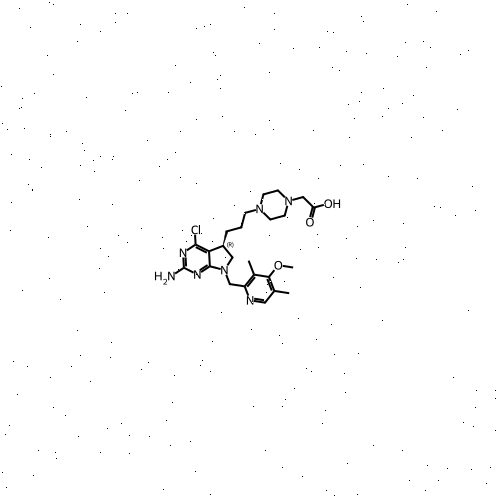 COc1c(C)cnc(CN2C[C@H](CCCN3CCN(CC(=O)O)CC3)c3c(Cl)nc(N)nc32)c1C